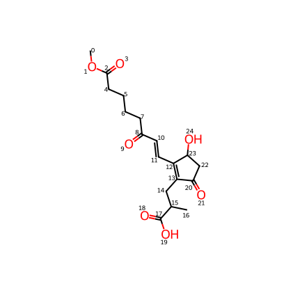 COC(=O)CCCCC(=O)/C=C/C1=C(CC(C)C(=O)O)C(=O)CC1O